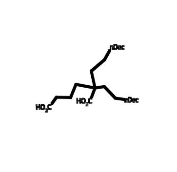 CCCCCCCCCCCCC(CCCCCCCCCCCC)(CCCC(=O)O)C(=O)O